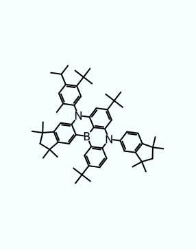 Cc1cc(C(C)C)c(C(C)(C)C)cc1N1c2cc3c(cc2B2c4cc(C(C)(C)C)ccc4N(c4ccc5c(c4)C(C)(C)CC5(C)C)c4cc(C(C)(C)C)cc1c42)C(C)(C)CC3(C)C